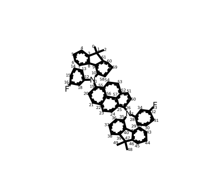 CC1(C)c2ccccc2-c2c(N(c3cccc(F)c3)c3ccc4ccc5c(N(c6cccc(F)c6)c6cccc7c6-c6ccccc6C7(C)C)ccc6ccc3c4c65)cccc21